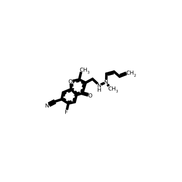 C=C/C=C\N(C)NCc1c(C)oc2cc(C#N)c(F)cc2c1=O